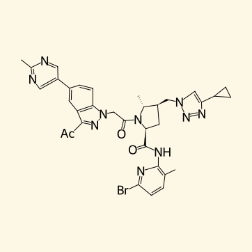 CC(=O)c1nn(CC(=O)N2[C@H](C)[C@@H](Cn3cc(C4CC4)nn3)C[C@H]2C(=O)Nc2nc(Br)ccc2C)c2ccc(-c3cnc(C)nc3)cc12